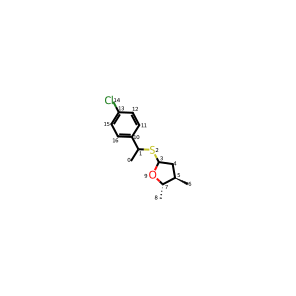 CC(SC1C[C@@H](C)[C@H](C)O1)c1ccc(Cl)cc1